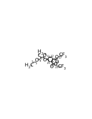 C=CCOCC(=C)C(=O)Oc1ccc(C(=O)OCC(F)(F)F)c(C(=O)OCC(F)(F)F)c1